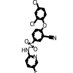 N#Cc1cc(S(=O)(=O)Nc2ccc(F)cn2)ccc1Oc1ccc(Cl)cc1Cl